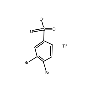 O=S(=O)([O-])c1ccc(Br)c(Br)c1.[Tl+]